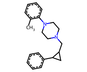 Cc1ccccc1N1CCN(CC2CC2c2ccccc2)CC1